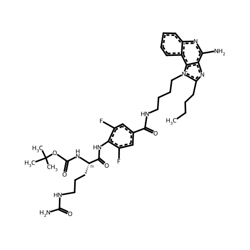 CCCCc1nc2c(N)nc3ccccc3c2n1CCCCNC(=O)c1cc(F)c(NC(=O)[C@H](CCCNC(N)=O)NC(=O)OC(C)(C)C)c(F)c1